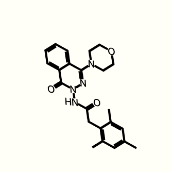 Cc1cc(C)c(CC(=O)Nn2nc(N3CCOCC3)c3ccccc3c2=O)c(C)c1